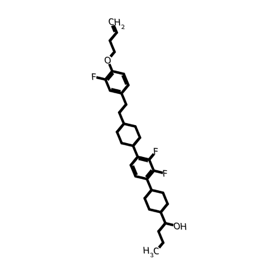 C=CCCOc1ccc(CCC2CCC(c3ccc(C4CCC(C(O)CCC)CC4)c(F)c3F)CC2)cc1F